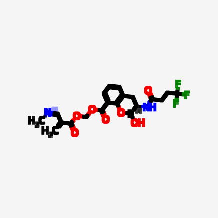 C=C(/C=N\C)C(=O)OCOC(=O)c1cccc2c1OB(O)[C@@H](NC(=O)CCC(F)(F)F)C2